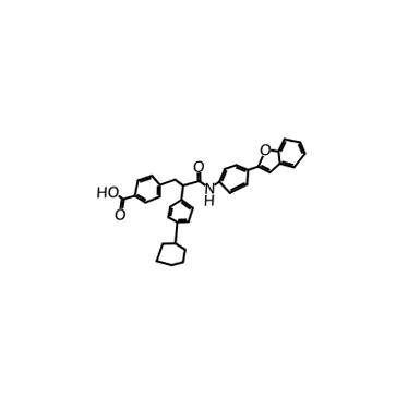 O=C(O)c1ccc(CC(C(=O)Nc2ccc(-c3cc4ccccc4o3)cc2)c2ccc(C3CCCCC3)cc2)cc1